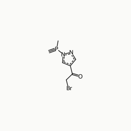 C#P(C)n1cc(C(=O)CBr)cn1